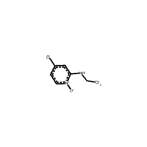 [O-][n+]1ccc(Cl)cc1NCC(F)(F)F